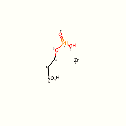 O=[PH](O)OCCS(=O)(=O)O.[Zr]